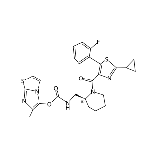 Cc1nc2sccn2c1OC(=O)NC[C@@H]1CCCCN1C(=O)c1nc(C2CC2)sc1-c1ccccc1F